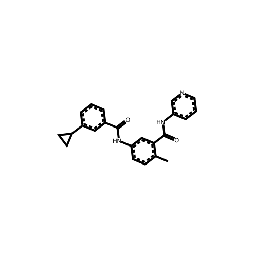 Cc1ccc(NC(=O)c2cccc(C3CC3)c2)cc1C(=O)Nc1cccnc1